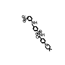 CC1(C)CCN(c2ccc(C(=O)NS(=O)(=O)c3ccc(CNc4cccc([N+](=O)[O-])c4)cc3)cc2)CC1